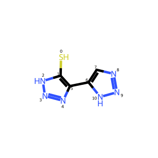 Sc1[nH]nnc1-c1cnn[nH]1